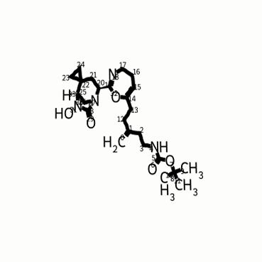 C=C(CCNC(=O)OC(C)(C)C)CCC1=CCCN=C([C@@H]2CC3(CC3)[C@H]3CN2C(=O)N3O)O1